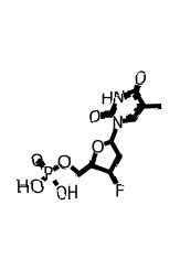 Cc1cn(C2CC(F)C(COP(=O)(O)O)O2)c(=O)[nH]c1=O